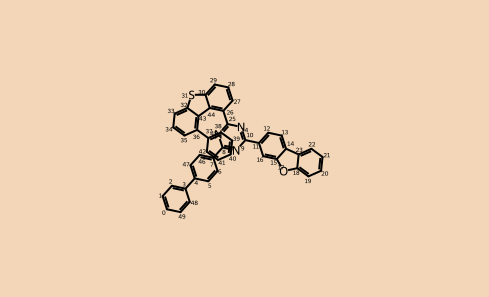 c1ccc(-c2ccc(-c3nc(-c4ccc5c(c4)oc4ccccc45)nc(-c4cccc5sc6cccc(-c7ccccc7)c6c45)n3)cc2)cc1